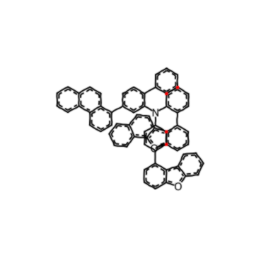 C1=CC(N(c2cc(-c3cccc4c3ccc3ccccc34)ccc2-c2ccccc2)c2ccccc2-c2cccc3oc4c5ccccc5ccc4c23)CC=C1c1cccc2oc3ccccc3c12